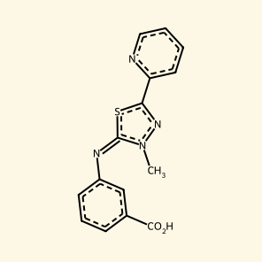 Cn1nc(-c2ccccn2)s/c1=N/c1cccc(C(=O)O)c1